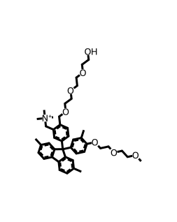 COCCOCCOc1ccc(C2(c3ccc(COCCOCCOCCO)c(C[N+](C)(C)C)c3)c3cc(C)ccc3-c3ccc(C)cc32)cc1C